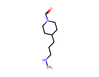 CNCCCC1CCN(C=O)CC1